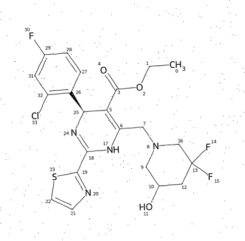 CCOC(=O)C1=C(CN2CC(O)CC(F)(F)C2)NC(c2nccs2)=N[C@H]1c1ccc(F)cc1Cl